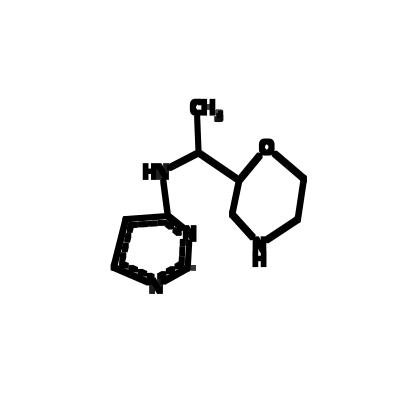 CC(Nc1ccn[c]n1)C1CNCCO1